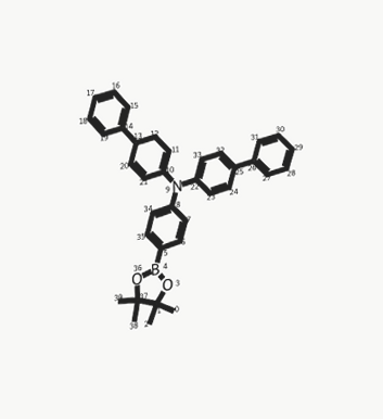 CC1(C)OB(c2ccc(N(C3=CCC(c4ccccc4)C=C3)c3ccc(-c4ccccc4)cc3)cc2)OC1(C)C